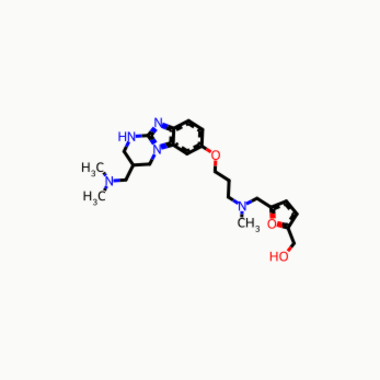 CN(C)CC1CNc2nc3ccc(OCCCN(C)Cc4ccc(CO)o4)cc3n2C1